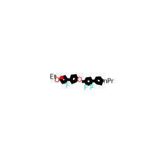 CCCc1ccc(-c2ccc(COc3ccc(-c4ccc(OCC)cc4F)cc3)c(F)c2F)cc1